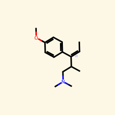 C/C=C(\c1ccc(OC)cc1)C(C)CN(C)C